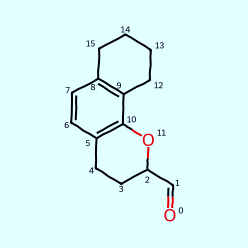 O=CC1CCc2ccc3c(c2O1)CCCC3